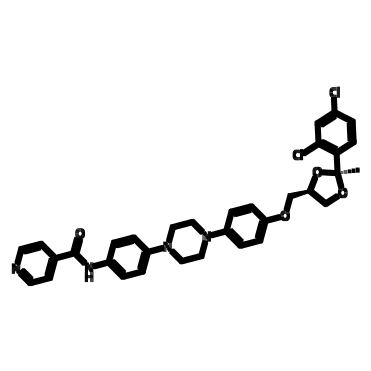 C[C@]1(c2ccc(Cl)cc2Cl)OC[C@@H](COc2ccc(N3CCN(c4ccc(NC(=O)c5ccncc5)cc4)CC3)cc2)O1